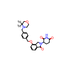 [2H]C1([2H])COCCN1Cc1ccc(COc2cccc3c2CN(C2CCC(=O)NC2=O)C3=O)cc1